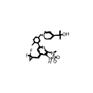 Cc1ccc(CN2CCC(C(C)(C)O)CC2)cc1-c1cc(CC2CC2(F)F)c2c(n1)N(C)S(=O)(=O)N2